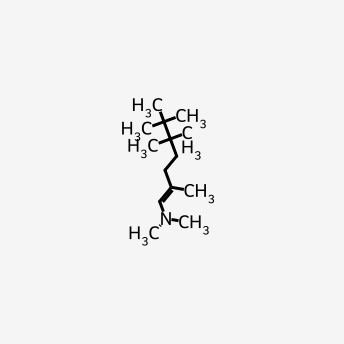 C/C(=C\N(C)C)CCC(C)(C)C(C)(C)C